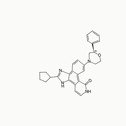 O=c1[nH]ccc2c3[nH]c(C4CCCC4)nc3c3ccc(N4CCO[C@H](c5ccccc5)C4)cc3c12